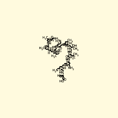 CCC(C)C(CNCC(=O)N[C@H](CNCN[C@H](CNCC(N)=O)CC(C)C)CC(C)C)NC(=O)CNC[C@H](CCCN)NC(=O)CNC[C@H](CC(C)C)NCNCC(NCNC[C@H](CC(C)C)NC(=O)CNC[C@H](CCCN)NC(=O)CNC[C@H](CCCN)NC(=O)CNC[C@H](CCC(=O)O)NC)C(C)O